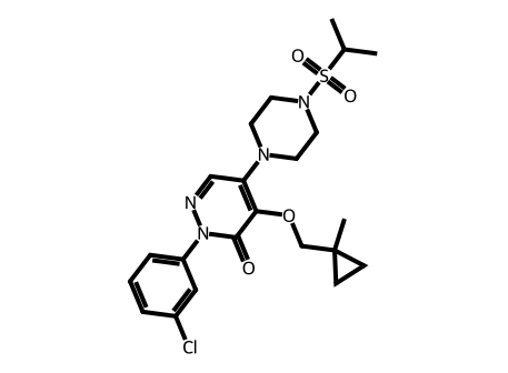 CC(C)S(=O)(=O)N1CCN(c2cnn(-c3cccc(Cl)c3)c(=O)c2OCC2(C)CC2)CC1